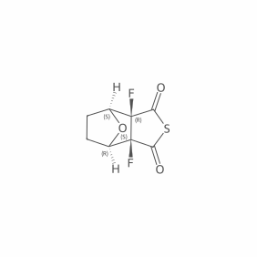 O=C1SC(=O)[C@]2(F)[C@H]3CC[C@H](O3)[C@]12F